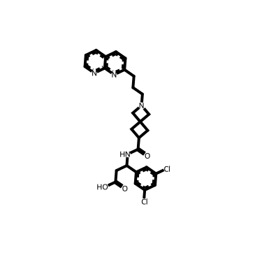 O=C(O)CC(NC(=O)C1CC2(C1)CN(CCCc1ccc3cccnc3n1)C2)c1cc(Cl)cc(Cl)c1